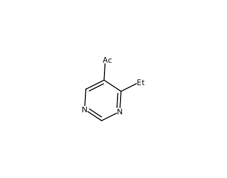 CCc1ncncc1C(C)=O